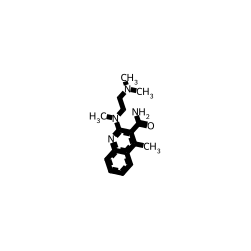 Cc1c(C(N)=O)c(N(C)CCN(C)C)nc2cc[c]cc12